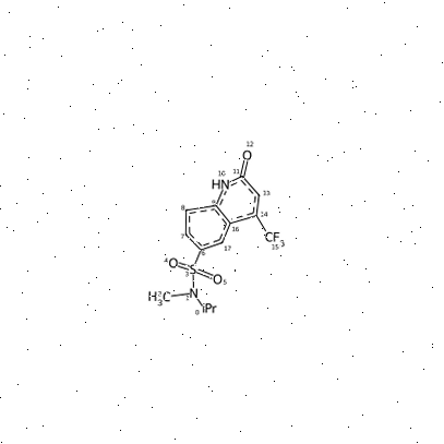 CC(C)N(C)S(=O)(=O)c1ccc2[nH]c(=O)cc(C(F)(F)F)c2c1